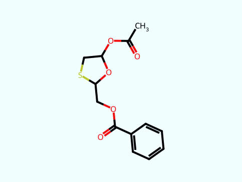 CC(=O)OC1CSC(COC(=O)c2ccccc2)O1